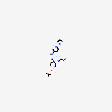 CCC(Cl)C(=O)NC1(C(=O)NC(C)c2ccc(-n3cc(F)cn3)nc2)CCN(C(=O)OC(C)(C)C)CC1